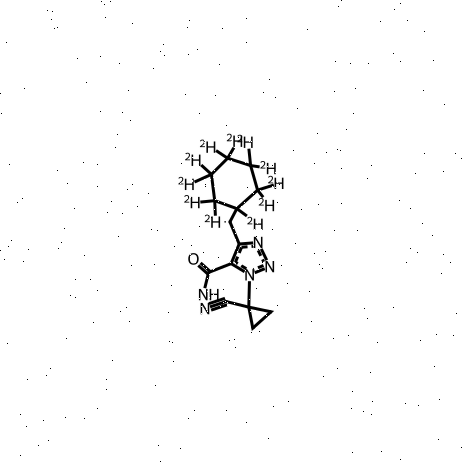 [2H]C1([2H])C([2H])([2H])C([2H])([2H])C([2H])([CH]c2nnn(C3(C#N)CC3)c2C(N)=O)C([2H])([2H])C1([2H])[2H]